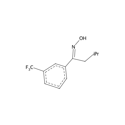 CC(C)CC(=NO)c1cccc(C(F)(F)F)c1